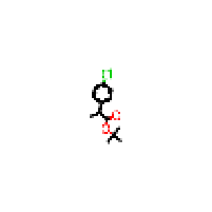 CC(C(=O)OC(C)(C)C)c1ccc(Cl)cc1